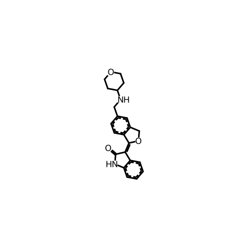 O=C1Nc2ccccc2C1=C1OCc2cc(CNC3CCOCC3)ccc21